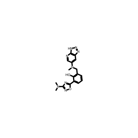 CN(C)c1noc(-c2cccc(CN(C)c3cnc4[nH]nnc4c3)c2O)n1